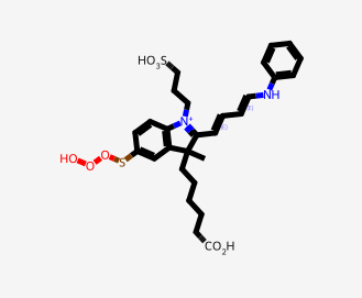 CC1(CCCCCC(=O)O)C(/C=C/C=C/Nc2ccccc2)=[N+](CCCS(=O)(=O)O)c2ccc(SOOO)cc21